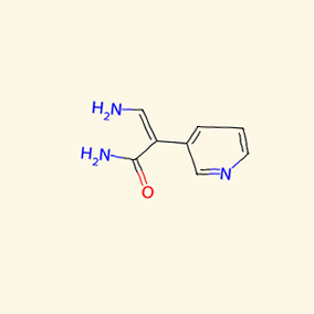 NC=C(C(N)=O)c1cccnc1